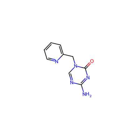 Nc1ncn(Cc2ccccn2)c(=O)n1